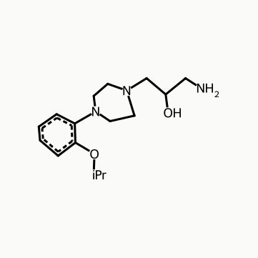 CC(C)Oc1ccccc1N1CCN(CC(O)CN)CC1